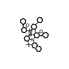 CC1(C)c2cc3ccccc3cc2N2c3cc4c(oc5ccccc54)c(-c4cc(-c5ccccc5)ccc4Nc4cccc5c4oc4ccccc45)c3Bc3cccc1c32